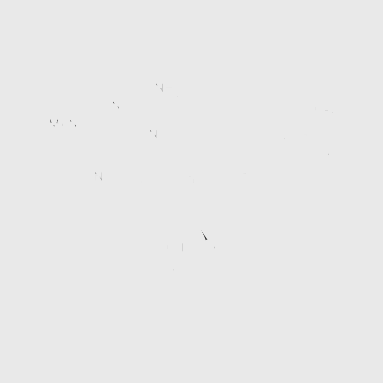 CCC(=O)O[C@@H]1[C@@H](COCOC(=O)C(C)(C)C)OC(C2C=Nc3c(NC)nc(N)nc32)[C@]1(C)F